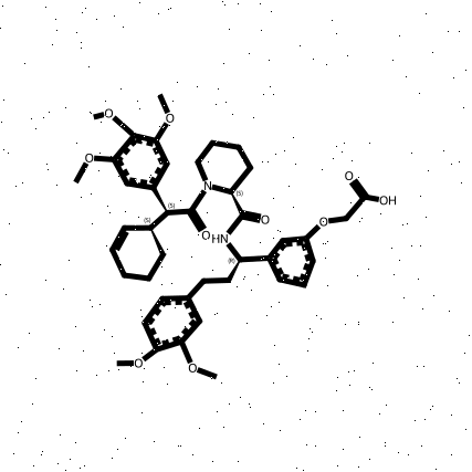 COc1ccc(CC[C@@H](NC(=O)[C@@H]2CCCCN2C(=O)[C@H](c2cc(OC)c(OC)c(OC)c2)[C@@H]2C=CCCC2)c2cccc(OCC(=O)O)c2)cc1OC